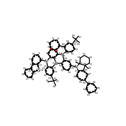 Cc1cc2c3c(c1)N(c1cccc4c1sc1ccccc14)c1ccc(C(C)(C)C)cc1B3c1ccc(N3c4ccc(-c5ccccc5)cc4C4(C)CCCCC34C)cc1N2c1ccc(C(C)(C)C)cc1-c1ccccc1